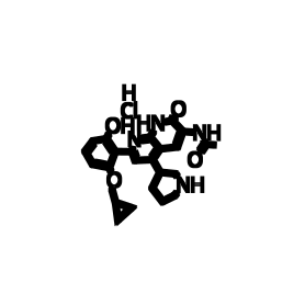 CC(=O)Nc1cc2c(C3CCCNC3)cc(-c3c(O)cccc3OCC3CC3)nc2[nH]c1=O.Cl